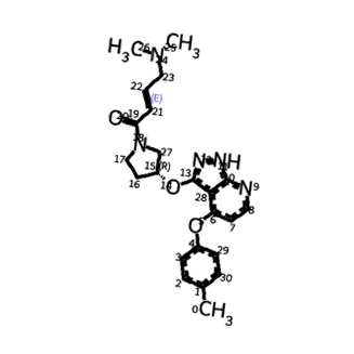 Cc1ccc(Oc2ccnc3[nH]nc(O[C@@H]4CCN(C(=O)/C=C/CN(C)C)C4)c23)cc1